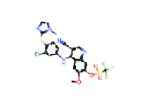 COc1cc2c(Nc3ccc(Sc4nccn4C)c(Cl)c3)c(C#N)cnc2cc1OS(=O)(=O)C(F)(F)F